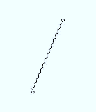 N#CSCCCCCCCCCCCCCCCCCCCCCCCCCCSC#N